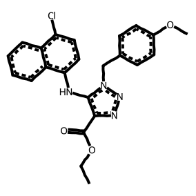 CCOC(=O)c1nnn(Cc2ccc(OC)cc2)c1Nc1ccc(Cl)c2ccccc12